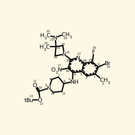 Cc1cc2c(NC3CCN(C(=O)OC(C)(C)C)CC3)c([N+](=O)[O-])c(N3CC(C)(N(C)C)C3)nc2c(F)c1Br